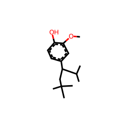 COc1cc(C(CC(C)(C)C)C(C)C)ccc1O